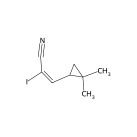 CC1(C)CC1/C=C(/I)C#N